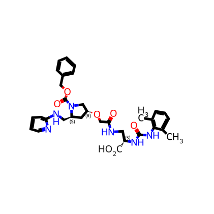 Cc1cccc(C)c1NC(=O)N[C@@H](CNC(=O)CO[C@@H]1C[C@@H](CNc2ccccn2)N(C(=O)OCc2ccccc2)C1)C(=O)O